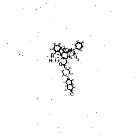 CN1C(CC(=O)N2CCN(C3CC4CC(=O)CC4C3)CC2)=C(C(=O)O)C(C)(c2c(Cl)cccc2Cl)C(C(=O)O)=C1C[S+]([O-])c1ccccc1